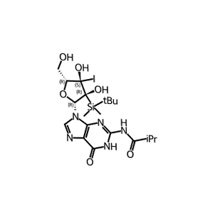 CC(C)C(=O)Nc1nc2c(ncn2[C@@H]2O[C@H](CO)[C@](O)(I)[C@]2(O)[Si](C)(C)C(C)(C)C)c(=O)[nH]1